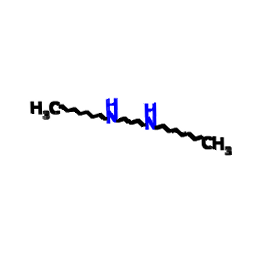 CCCCCCCCCNCCCCCNCCCCCCCCC